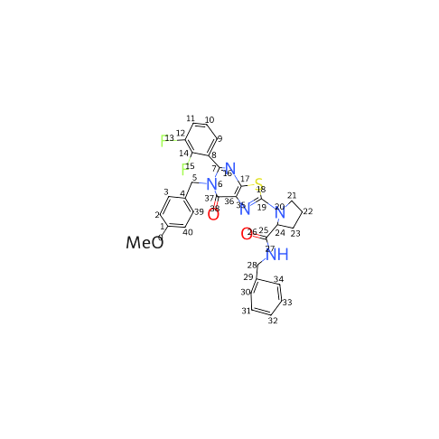 COc1ccc(Cn2c(-c3cccc(F)c3F)nc3sc(N4CCCC4C(=O)NCc4ccccc4)nc3c2=O)cc1